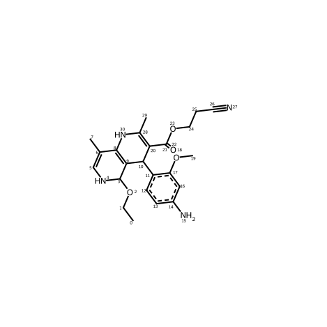 CCOC1NC=C(C)C2=C1C(c1ccc(N)cc1OC)C(C(=O)OCCC#N)=C(C)N2